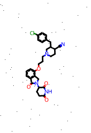 N#CC1CCN(CCCOc2cccc3c2CN(C2CCC(=O)NC2=O)C3=O)CC1Cc1ccc(Cl)cc1